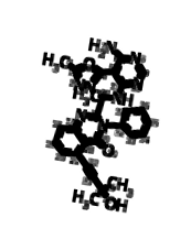 Cc1nnc(-c2c(N)ncnc2N[C@@H](C)c2nc3cccc(C#CC(C)(C)O)c3c(=O)n2-c2ccccc2)o1